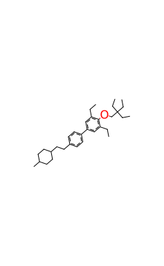 CCc1cc(-c2ccc(CCC3CCC(C)CC3)cc2)cc(CC)c1OCC(CC)(CC)CC